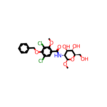 COc1c(C(=O)N[C@H]2[C@H](OC)O[C@H](CO)[C@@H](O)[C@@H]2O)cc(Cl)c(OCc2ccccc2)c1Cl